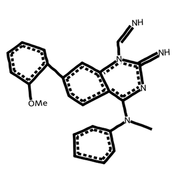 COc1ccccc1-c1ccc2c(N(C)c3ccccc3)nc(=N)n(C=N)c2c1